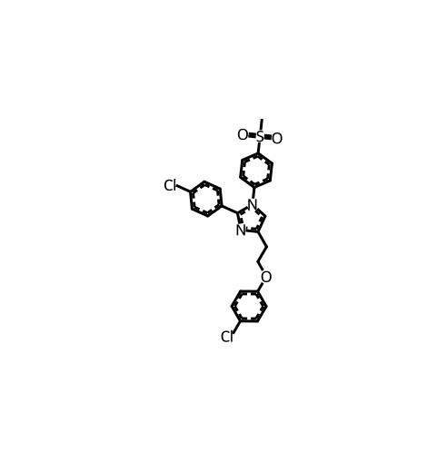 CS(=O)(=O)c1ccc(-n2cc(CCOc3ccc(Cl)cc3)nc2-c2ccc(Cl)cc2)cc1